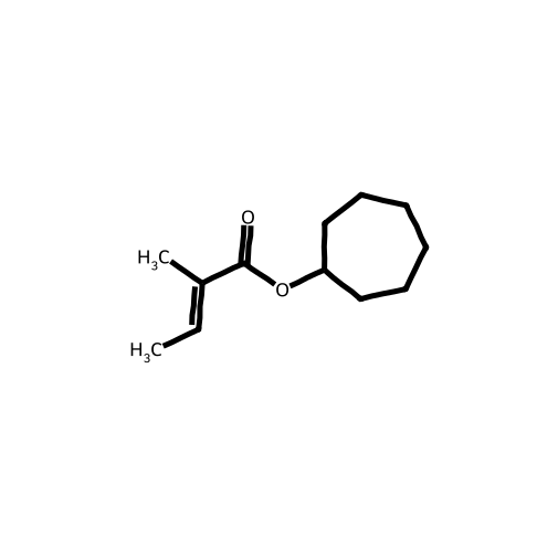 CC=C(C)C(=O)OC1CCCCCC1